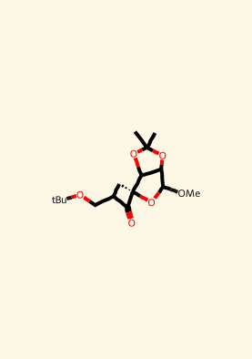 COC1O[C@]2(CC(COC(C)(C)C)C2=O)C2OC(C)(C)OC12